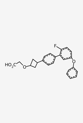 O=C(O)COC1CC(c2ccc(-c3cc(Oc4ccccc4)ccc3F)cc2)C1